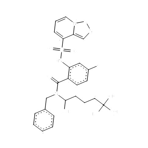 CC(CCCC(C)(C)O)N(Cc1ccccc1)C(=O)c1ccc(Cl)cc1NS(=O)(=O)C1=CC=CN2SNC=C12